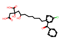 O=C(O)CC(O)(CC(O)CCCCCCc1ccc(Cl)cc1C(=O)c1ccccc1)C(=O)O